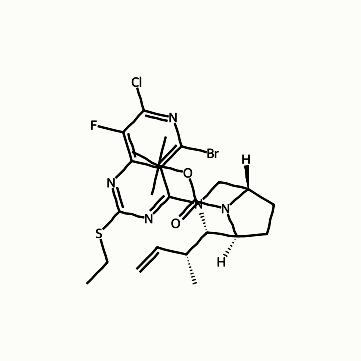 C=C[C@@H](C)[C@H]1[C@@H]2CC[C@@H](CN1c1nc(SCC)nc3c(F)c(Cl)nc(Br)c13)N2C(=O)OC(C)(C)C